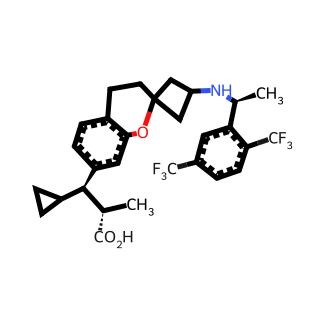 C[C@H](NC1CC2(CCc3ccc([C@H](C4CC4)[C@H](C)C(=O)O)cc3O2)C1)c1cc(C(F)(F)F)ccc1C(F)(F)F